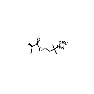 C=C(C)C(=O)OCCC(C)(C)NCCCC